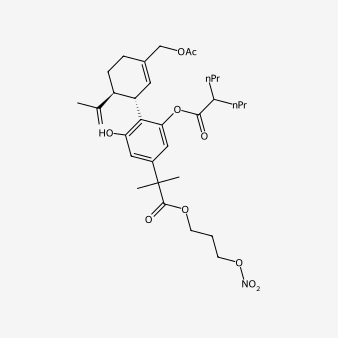 C=C(C)[C@H]1CCC(COC(C)=O)=C[C@@H]1c1c(O)cc(C(C)(C)C(=O)OCCCO[N+](=O)[O-])cc1OC(=O)C(CCC)CCC